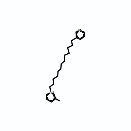 Cc1ccc[n+](CCCCCCCCCCCCCc2cccnc2)c1